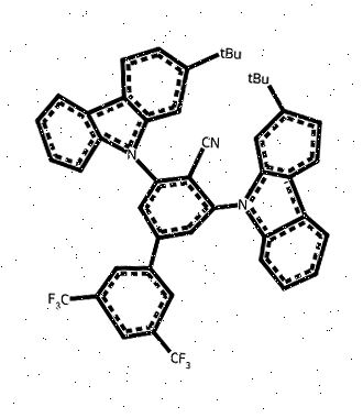 CC(C)(C)c1ccc2c3ccccc3n(-c3cc(-c4cc(C(F)(F)F)cc(C(F)(F)F)c4)cc(-n4c5ccccc5c5ccc(C(C)(C)C)cc54)c3C#N)c2c1